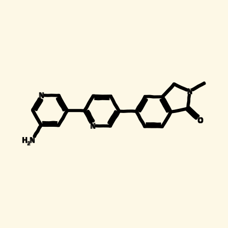 CN1Cc2cc(-c3ccc(-c4cncc(N)c4)nc3)ccc2C1=O